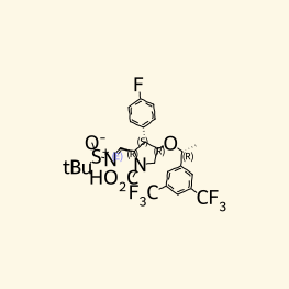 C[C@@H](O[C@H]1CN(C(=O)O)[C@@H](/C=N/[S+]([O-])C(C)(C)C)[C@@H]1c1ccc(F)cc1)c1cc(C(F)(F)F)cc(C(F)(F)F)c1